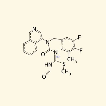 CS/C(=N/C(=O)N(Cc1cc(C)c(F)c(F)c1)c1cncc2ccccc12)NC=O